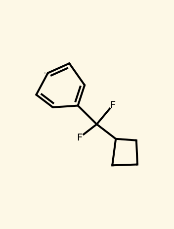 FC(F)(c1cc[c]cc1)C1CCC1